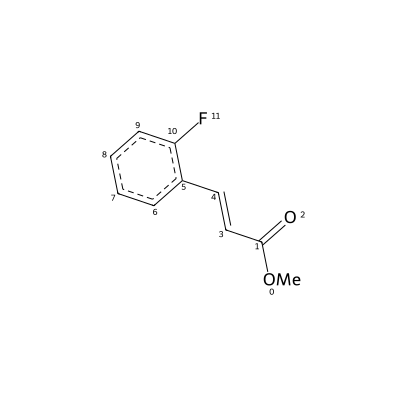 COC(=O)C=Cc1ccccc1F